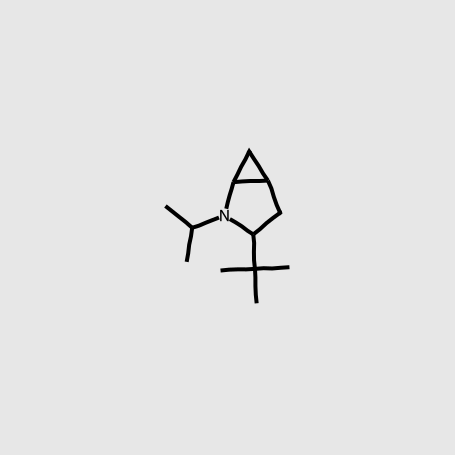 CC(C)N1C2CC2CC1C(C)(C)C